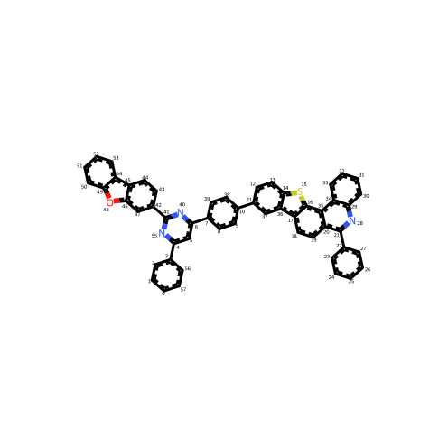 c1ccc(-c2cc(-c3ccc(-c4ccc5sc6c(ccc7c(-c8ccccc8)nc8ccccc8c76)c5c4)cc3)nc(-c3ccc4c(c3)oc3ccccc34)n2)cc1